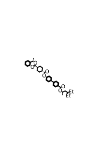 CCC(CC)C[C@@H](C)OC(=O)c1ccc(-c2ccc(OC(=O)[C@H]3CC[C@H](C(=O)O[C@H](C)c4ccccc4)CC3)cc2)cc1